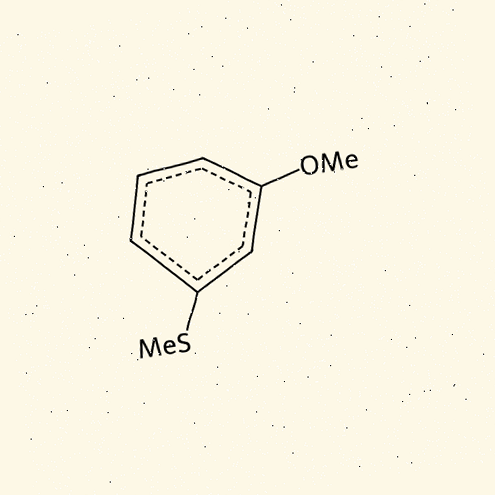 [CH2]Sc1cccc(OC)c1